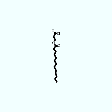 CCCCCCCCCCCCC(=O)OCCC(=O)Cl